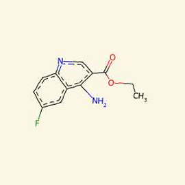 CCOC(=O)c1cnc2ccc(F)cc2c1N